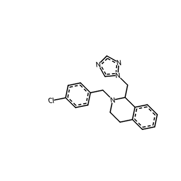 Clc1ccc(CN2CCc3ccccc3C2Cn2cncn2)cc1